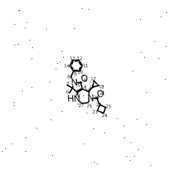 CC1(C)C2=C(C(=O)N1Cc1ccccc1)C(C1CC1)N(C(=O)C1CCC1)CCN2